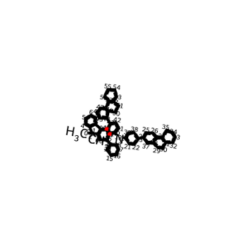 CC1(C)c2ccccc2-c2ccc(-c3ccccc3N(c3ccc(-c4ccc5c(ccc6ccccc65)c4)cc3)c3ccc(-c4cccc5c4ccc4ccccc45)cc3)cc21